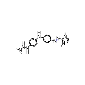 CN(C)NNc1ccc(Nc2ccc(/N=N/c3n(C)cc[n+]3C)cc2)cc1